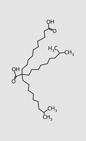 CC(C)CCCCCCCC(CCCCCCCCCC(=O)O)(CCCCCCCC(C)C)C(=O)O